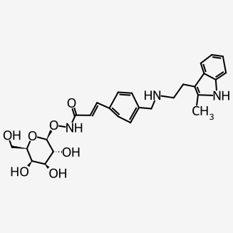 Cc1[nH]c2ccccc2c1CCNCc1ccc(/C=C/C(=O)NO[C@@H]2O[C@H](CO)[C@H](O)[C@H](O)[C@H]2O)cc1